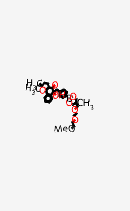 COCCOCCOCC1(C)COB(c2ccc(CC3(O)C(=O)C4=C(OC(C)(C)CC4)c4ccccc43)cc2)OC1